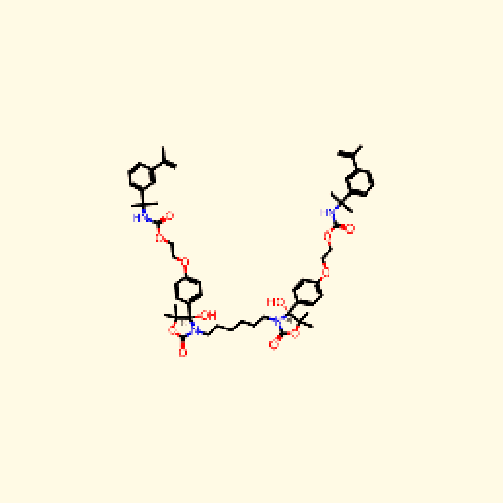 C=C(C)c1cccc(C(C)(C)NC(=O)OCCOc2ccc([C@]3(O)N(CCCCCCN4C(=O)OC(C)(C)[C@]4(O)c4ccc(OCCOC(=O)NC(C)(C)c5cccc(C(=C)C)c5)cc4)C(=O)OC3(C)C)cc2)c1